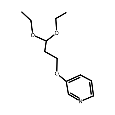 CCOC(CCOc1cccnc1)OCC